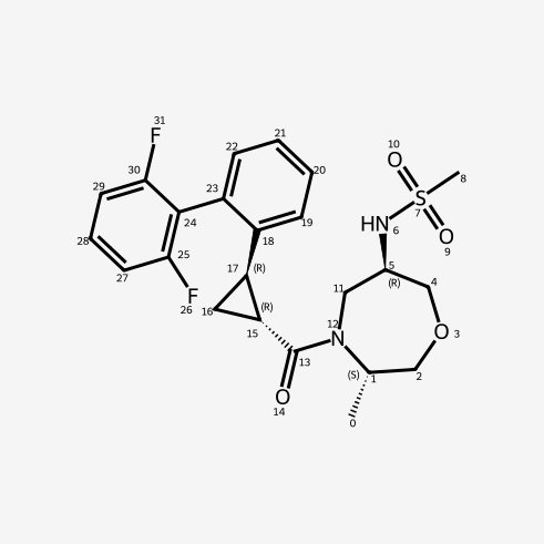 C[C@H]1COC[C@H](NS(C)(=O)=O)CN1C(=O)[C@@H]1C[C@H]1c1ccccc1-c1c(F)cccc1F